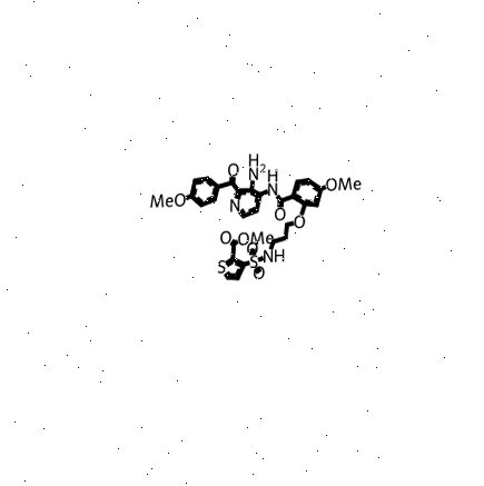 COC(=O)c1sccc1S(=O)(=O)NCCCOc1cc(OC)ccc1C(=O)Nc1ccnc(C(=O)c2ccc(OC)cc2)c1N